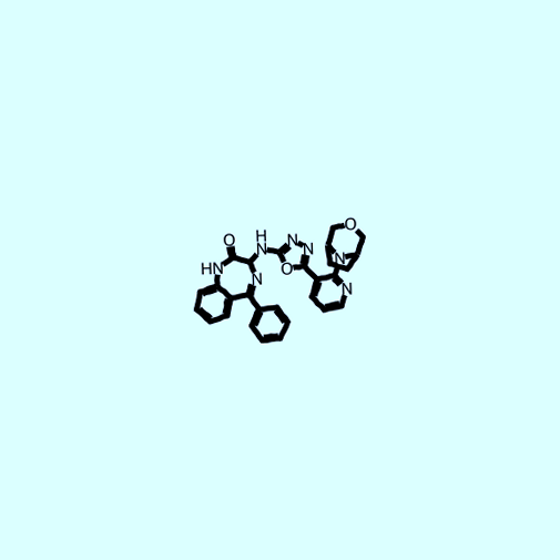 O=C1Nc2ccccc2C(c2ccccc2)=NC1Nc1nnc(-c2cccnc2N2C3CCC2COC3)o1